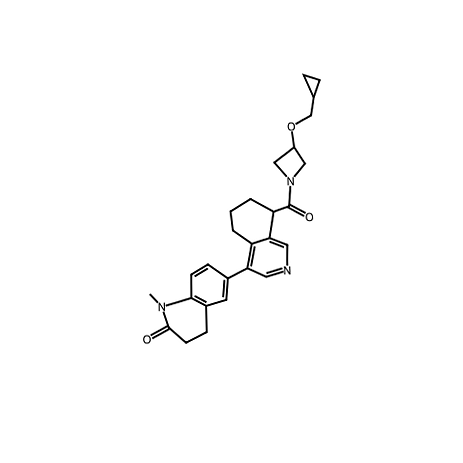 CN1C(=O)CCc2cc(-c3cncc4c3CCCC4C(=O)N3CC(OCC4CC4)C3)ccc21